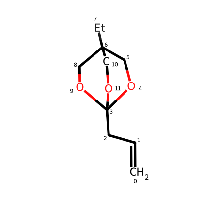 C=CCC12OCC(CC)(CO1)CO2